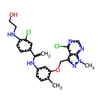 C=C(Nc1ccc(C)c(OCc2nn(C)c3ncnc(Cl)c23)c1)c1ccc(NCCO)c(Cl)c1